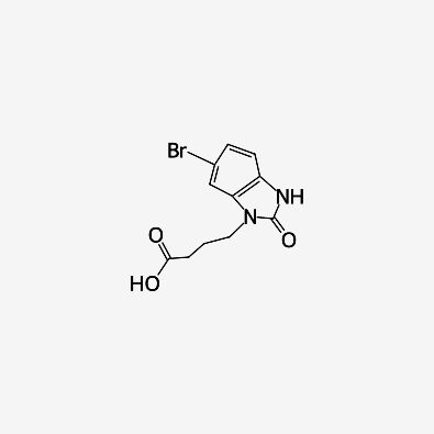 O=C(O)CCCn1c(=O)[nH]c2ccc(Br)cc21